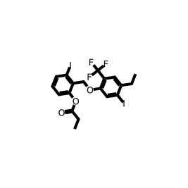 CCC(=O)Oc1cccc(I)c1COc1cc(I)c(CC)cc1C(F)(F)F